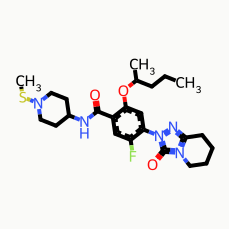 CCCC(C)Oc1cc(-n2nc3n(c2=O)CCCC3)c(F)cc1C(=O)NC1CCN(SC)CC1